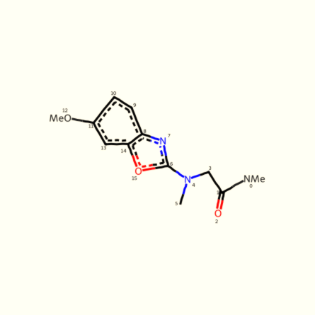 CNC(=O)CN(C)c1nc2ccc(OC)cc2o1